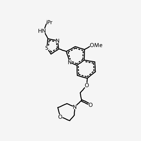 COc1cc(-c2csc(NC(C)C)n2)nc2cc(OCC(=O)N3CCOCC3)ccc12